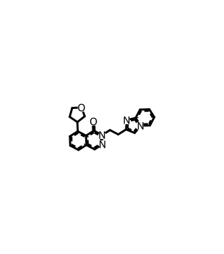 O=c1c2c(C3CCOC3)cccc2cnn1CCc1cn2ccccc2n1